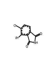 CC(C)c1c(Cl)ccc2c1C(=O)NC2=O